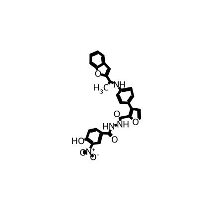 CC(Nc1ccc(-c2ccoc2C(=O)NNC(=O)c2ccc(O)c([N+](=O)[O-])c2)cc1)c1cc2ccccc2o1